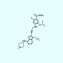 CNC(=O)c1cc(OC(F)F)c(NCC#Cc2sc3c(NC4CCN(C)CC4)cccc3c2CC(F)(F)F)cc1F